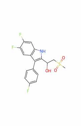 CS(=O)(=O)CC(O)c1[nH]c2cc(F)c(F)cc2c1-c1ccc(F)cc1